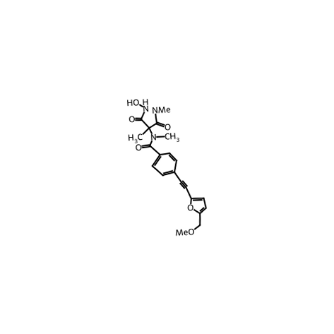 CNC(=O)C(C)(C(=O)NO)N(C)C(=O)c1ccc(C#Cc2ccc(COC)o2)cc1